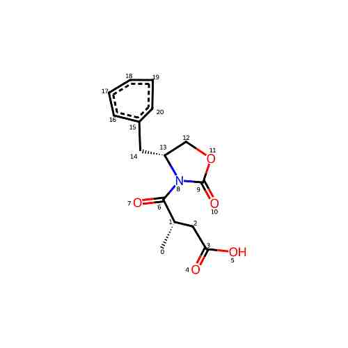 C[C@@H](CC(=O)O)C(=O)N1C(=O)OC[C@H]1Cc1ccccc1